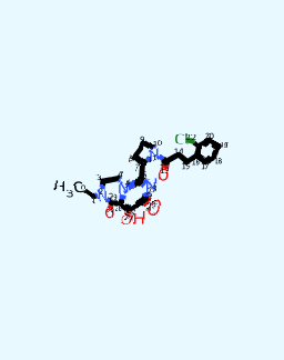 CCN1CCn2c(C3CCCN3C(=O)CCc3ccccc3Cl)nc(=O)c(O)c2C1=O